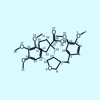 COc1ccc(C[C@H]2CO[C@H](c3cc(OC)c(OC)c(OC)c3)[C@@H]2CC2(C(=O)O)CCCC2)cc1OC